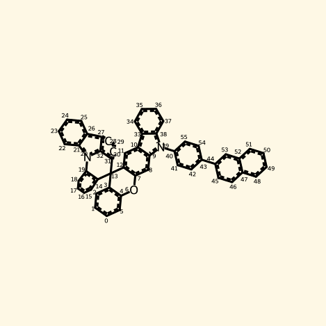 c1ccc2c(c1)Oc1cc3c(cc1C21c2ccccc2-n2c4ccccc4c4cccc1c42)c1ccccc1n3-c1ccc(-c2ccc3ccccc3c2)cc1